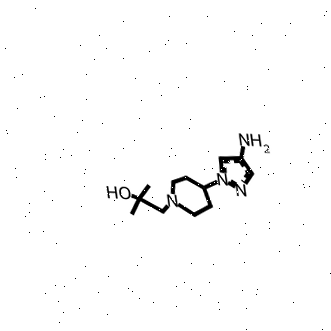 CC(C)(O)CN1CCC(n2cc(N)cn2)CC1